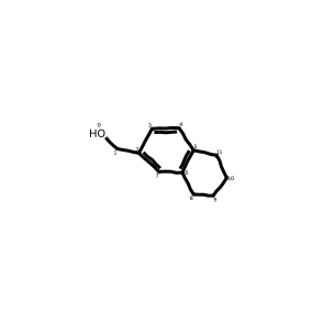 OCc1ccc2c(c1)CCC[C]2